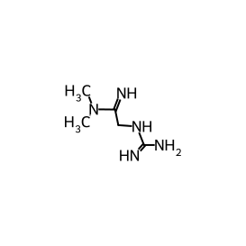 CN(C)C(=N)CNC(=N)N